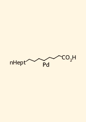 CCCCCCCCCCCCCCC(=O)O.[Pd]